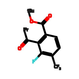 CC(C)C(=O)c1c(C(=O)OC(C)(C)C)ccc(C(F)(F)F)c1F